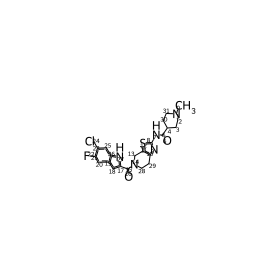 CN1CCC(C(=O)Nc2nc3c(s2)CN(C(=O)c2cc4cc(F)c(Cl)cc4[nH]2)CC3)CC1